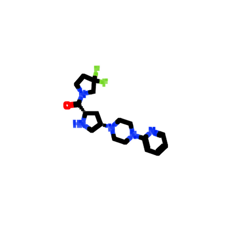 O=C([C@@H]1C[C@H](N2CCN(c3ccccn3)CC2)CN1)N1CCC(F)(F)C1